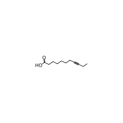 CCC#CCCCCCCC(=O)O